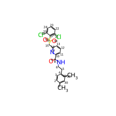 Cc1ccc(CCNC(=O)c2cccc(CS(=O)(=O)c3c(Cl)cccc3Cl)n2)c(C)c1